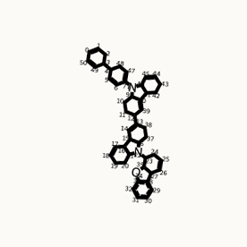 C1=CCC(C2C=CC(N3C4CCC(C5=CC6C7C=CCCC7N(C7CC=CC8c9ccccc9OC87)C6CC5)C=C4C4CCC=CC43)=CC2)C=C1